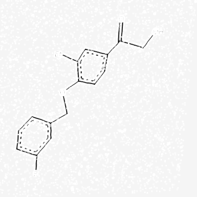 CCc1cc(C(=O)CO)ccc1OCc1cccc(F)c1